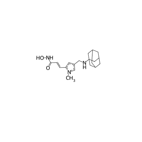 Cn1cc(CNC23CC4CC(CC(C4)C2)C3)cc1C=CC(=O)NO